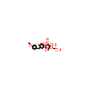 CCOc1ccc(Cc2cc([C@]34OC[C@](OCCO)(O3)[C@@H](O)[C@H](O)[C@H]4O)ccc2Cl)cc1